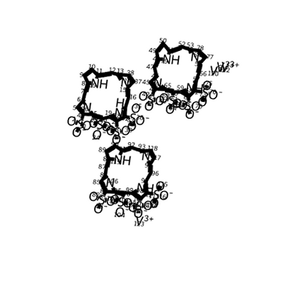 O=S(=O)([O-])C1=Cc2cc3ccc(cc4nc(cc5[nH]c(c(S(=O)(=O)[O-])c1n2)c(S(=O)(=O)[O-])c5S(=O)(=O)[O-])C=C4)[nH]3.O=S(=O)([O-])C1=Cc2cc3ccc(cc4nc(cc5[nH]c(c(S(=O)(=O)[O-])c1n2)c(S(=O)(=O)[O-])c5S(=O)(=O)[O-])C=C4)[nH]3.O=S(=O)([O-])C1=Cc2cc3ccc(cc4nc(cc5[nH]c(c(S(=O)(=O)[O-])c1n2)c(S(=O)(=O)[O-])c5S(=O)(=O)[O-])C=C4)[nH]3.[V+3].[V+3].[V+3].[V+3]